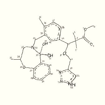 COC(=O)C(C)(C)C(OCc1c[nH]nn1)c1ccc(C)c(CN2CC(C)Oc3ccccc3S2(O)O)c1